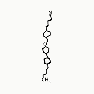 CCCCCc1ccc(C2CCC(OCC3CCC(C=CC=CC#N)CC3)CC2)cc1